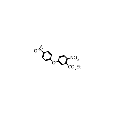 CCOC(=O)c1cc(Oc2ccc([S+](C)[O-])cc2)ccc1[N+](=O)[O-]